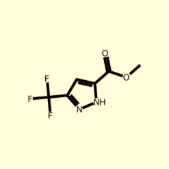 COC(=O)c1cc(C(F)(F)F)n[nH]1